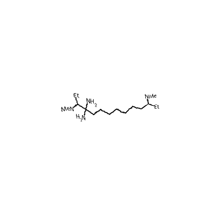 CCC(CCCCCCCC(N)(N)C(CC)NC)NC